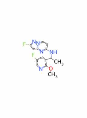 COc1ncc(F)cc1C(C)Nc1ccn2nc(F)cc2n1